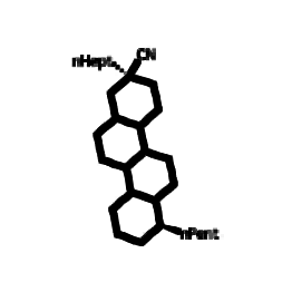 CCCCCCC[C@]1(C#N)CCC2C(CCC3C2CCC2C3CCC[C@@H]2CCCCC)C1